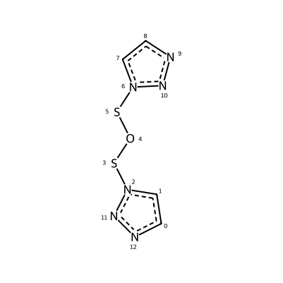 c1cn(SOSn2ccnn2)nn1